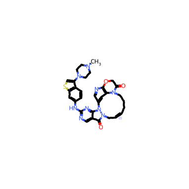 CN1CCN(c2csc3cc(Nc4ncc5c(=O)n6n(c5n4)-c4cnc5c(c4)N(CCC/C=C\C6)C(=O)CO5)ccc23)CC1